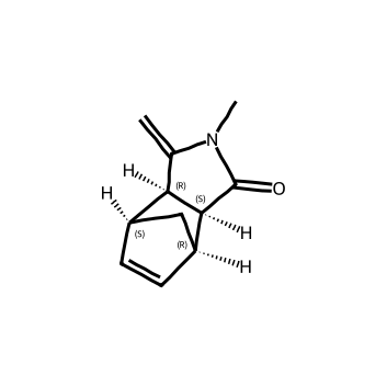 C=C1[C@H]2[C@@H](C(=O)N1C)[C@H]1C=C[C@@H]2C1